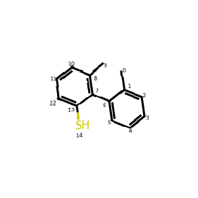 Cc1ccccc1-c1c(C)cccc1S